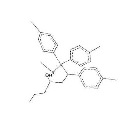 CCCC(O)CC(c1ccc(C)cc1)C(SC)(c1ccc(C)cc1)c1ccc(C)cc1